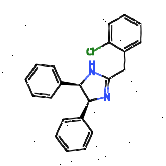 Clc1ccccc1CC1=N[C@@H](c2ccccc2)[C@@H](c2ccccc2)N1